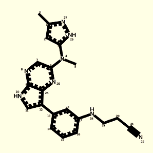 Cc1cc(N(C)c2cnc3[nH]cc(-c4cccc(NCCC#N)c4)c3n2)[nH]n1